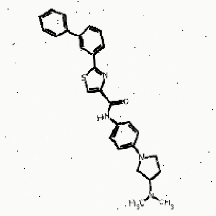 CN(C)C1CCN(c2ccc(NC(=O)c3csc(-c4cccc(-c5ccccc5)c4)n3)cc2)C1